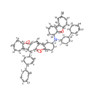 c1ccc(-c2ccc(-c3c4oc5ccc(N(c6cccc(-c7ccccc7)c6)c6cccc7c6oc6ccccc67)cc5c4cc4oc5ccccc5c34)cc2)cc1